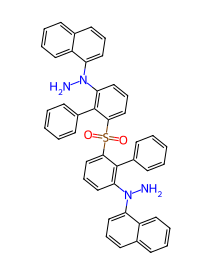 NN(c1cccc(S(=O)(=O)c2cccc(N(N)c3cccc4ccccc34)c2-c2ccccc2)c1-c1ccccc1)c1cccc2ccccc12